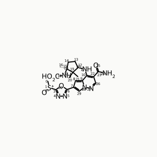 C[S+]([O-])c1nnc(-c2cc3c(N[C@@H]4CC[C@](C)(NC(=O)O)C4(C)C)c(C(N)=O)cnn3c2)o1